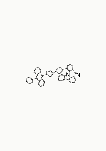 N#Cc1cccc(-c2ccc(-c3ccc(-c4c5ccccc5c(-c5ccccc5)c5ccccc45)cc3)cc2)c1-n1c2ccccc2c2ccccc21